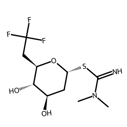 CN(C)C(=N)S[C@@H]1C[C@@H](O)[C@H](O)[C@@H](CC(F)(F)F)O1